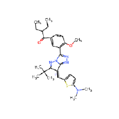 CCC(CC)C(=O)c1ccc(OC)c(-c2nnc3/c(=C\c4ccc(N(C)C)s4)c(C(C)(C)C)nn23)c1